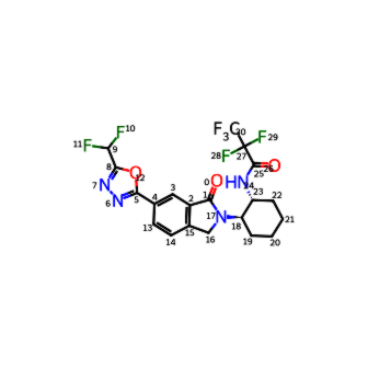 O=C1c2cc(-c3nnc(C(F)F)o3)ccc2CN1[C@@H]1CCCC[C@H]1NC(=O)C(F)(F)C(F)(F)F